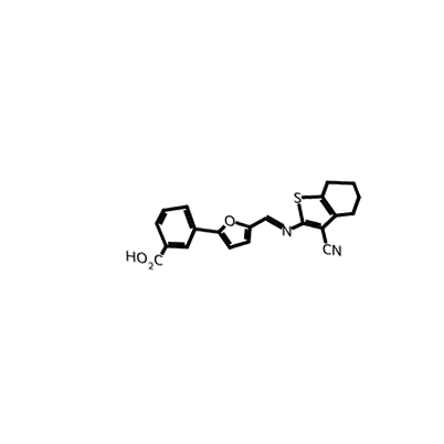 N#Cc1c(/N=C/c2ccc(-c3cccc(C(=O)O)c3)o2)sc2c1CCCC2